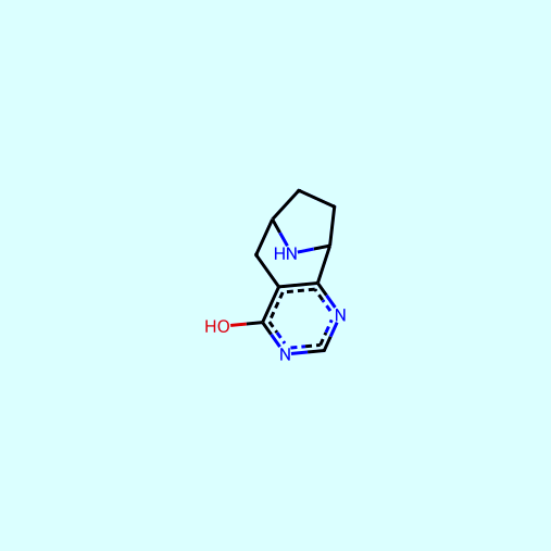 Oc1ncnc2c1CC1CCC2N1